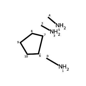 CN.CN.CN.[CH]1CCCC1